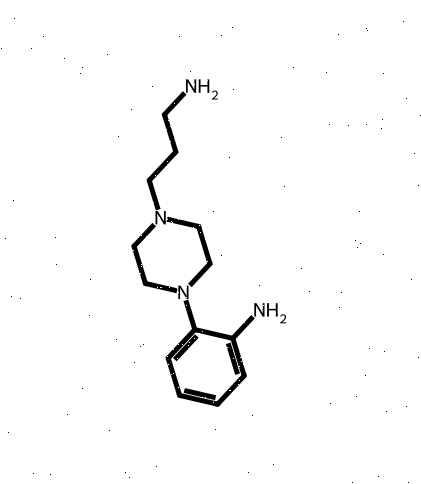 NCCCN1CCN(c2ccccc2N)CC1